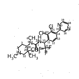 CN1CC[C@@H](N(C)C(=O)NC(c2ccc(-c3cnccn3)c(Cl)c2Cl)C(F)(F)F)C(C)(C)C1